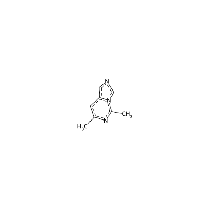 Cc1cc2cncn2c(C)n1